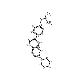 CC(C)Oc1ccc(-c2ccc3ncc(N4CCCCC4)nc3c2)cc1